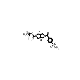 CC(C)(C)OC(=O)N1C[C@@H]2CN(C(=O)c3ccc(S(N)(=O)=O)cc3)C[C@@H]2C1